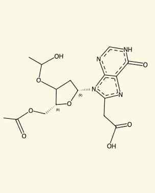 CC(=O)OC[C@H]1O[C@@H](n2c(CC(=O)O)nc3c(=O)[nH]cnc32)CC1OC(C)O